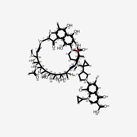 CO[C@H]1/C=C/O[C@@]2(C)Oc3c(C)c(O)c4c(O)c(c(N5CCC(N(C)C6(C7CCN(c8c(F)cc9c(=O)c(C(=O)O)cn(C%10CC%10)c9c8Cl)C7)CC6)CC5)c(O)c4c3C2=O)NC(=O)/C(C)=C\C=C\[C@H](C)[C@H](O)[C@@H](C)[C@@H](O)[C@@H](C)[C@H](OC(C)=O)[C@@H]1C